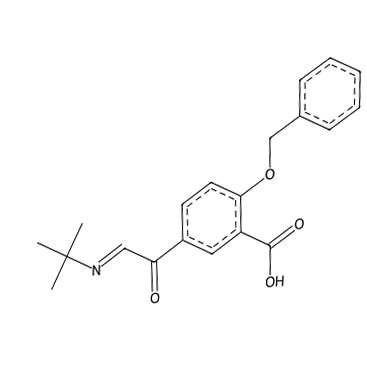 CC(C)(C)/N=C/C(=O)c1ccc(OCc2ccccc2)c(C(=O)O)c1